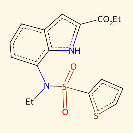 CCOC(=O)c1cc2cccc(N(CC)S(=O)(=O)c3cccs3)c2[nH]1